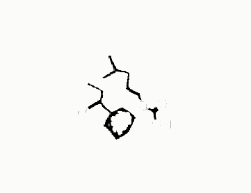 CC(C)CCCOC(=O)O.CCC(=O)c1ccccc1